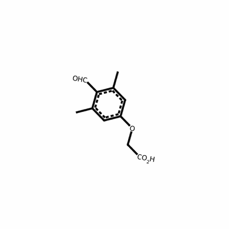 Cc1cc(OCC(=O)O)cc(C)c1C=O